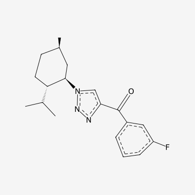 CC(C)[C@@H]1CC[C@@H](C)C[C@H]1n1cc(C(=O)c2cccc(F)c2)nn1